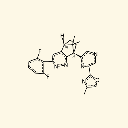 Cc1coc(-c2cncc([C@@]34CC[C@@H](c5cc(-c6c(F)cccc6F)nnc53)C4(C)C)n2)n1